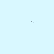 CC(C)CCCCCCC(=O)NCc1ccc(O)c(O)c1